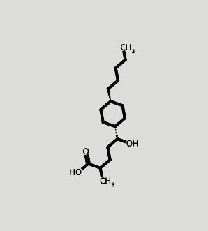 CCCCC[C@H]1CC[C@H](C(O)CCC(C)C(=O)O)CC1